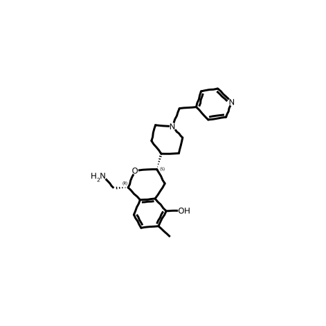 Cc1ccc2c(c1O)C[C@@H](C1CCN(Cc3ccncc3)CC1)O[C@H]2CN